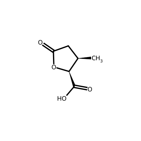 C[C@@H]1CC(=O)O[C@@H]1C(=O)O